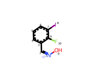 O/N=C\c1cccc(I)c1F